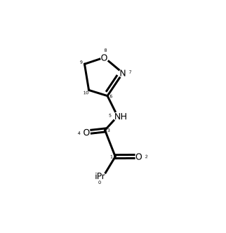 CC(C)C(=O)C(=O)NC1=NOCC1